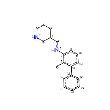 Cc1c(NCC2CCCNC2)cccc1-c1ccccc1